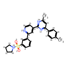 O=S(=O)(c1cccc(-c2cc(-c3nc(-c4ccc(C(F)(F)F)cc4)cc(C(F)(F)F)n3)ccn2)c1)N1CCCC1